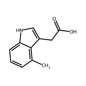 Cc1cccc2[nH]cc(CC(=O)O)c12